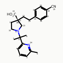 Cc1cccc(C(C)(C)N2CC[C@@](CCc3ccc(C#N)cc3)(C(=O)O)C2)n1